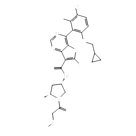 COCC(=O)N1C[C@H](NC(=O)c2c(C)[nH]c3c(-c4c(OCC5CC5)ccc(C)c4F)ncnc23)C[C@@H]1C